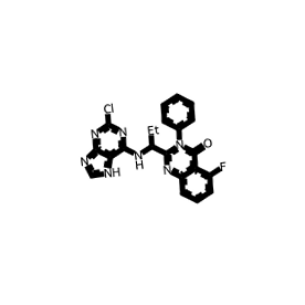 CCC(Nc1nc(Cl)nc2nc[nH]c12)c1nc2cccc(F)c2c(=O)n1-c1ccccc1